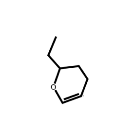 CCC1CC[C]=CO1